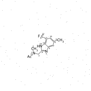 CC(=O)N(C)Cc1nc2cc(C)cc(C(F)(F)F)c2[nH]1